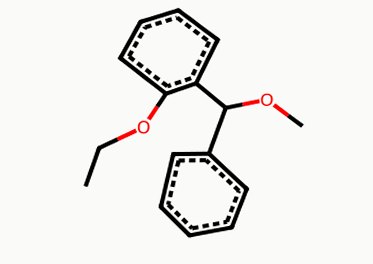 CCOc1ccccc1C(OC)c1ccccc1